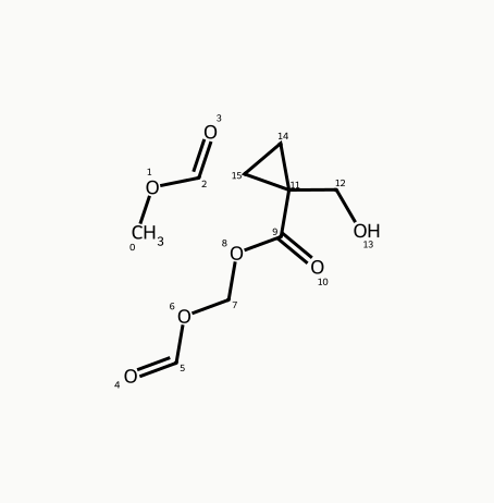 COC=O.O=COCOC(=O)C1(CO)CC1